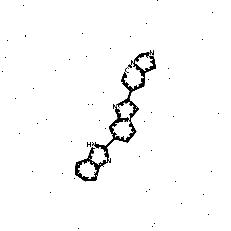 c1ccc2[nH]c(-c3ccn4cc(-c5ccn6cncc6c5)nc4c3)nc2c1